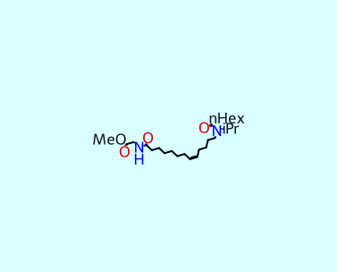 CCCCCCC(=O)N(CCCC/C=C\CCCCCCC(=O)NCC(=O)OC)C(C)C